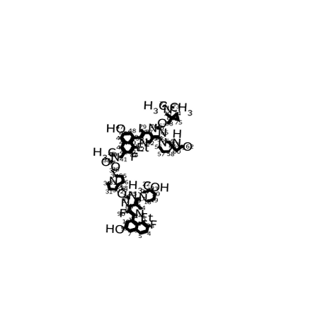 CCc1c(F)ccc2cc(O)cc(-c3ncc4c(N5CCC[C@@](C)(O)C5)nc(OC[C@]56CCCN5[C@@H](COC(=O)N(C)Cc5cc7cc(O)cc(-c8ncc9c(N%10CCC[C@@]%11(CC(=O)N%11)C%10)nc(OCC%10(CN(C)C)CC%10)nc9c8I)c7c(CC)c5F)CC6)nc4c3F)c12